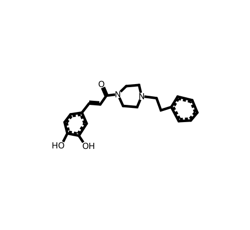 O=C(C=Cc1ccc(O)c(O)c1)N1CCN(CCc2ccccc2)CC1